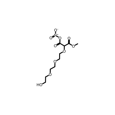 COC(=O)C(OCCOCCOCCO)C(=O)O[N+](=O)[O-]